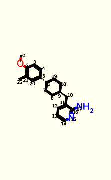 COc1ccc([C@H]2CC[C@H](Cc3cccnc3N)CC2)cc1C